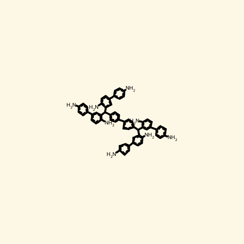 Nc1ccc(-c2ccc(N)c(C(c3ccc(-c4ccc(C(c5cc(-c6ccc(N)cc6)ccc5N)c5cc(-c6ccc(N)cc6)ccc5N)cc4)cc3)c3cc(-c4ccc(N)cc4)ccc3N)c2)cc1